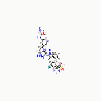 CN(C)CC(=O)Nc1cncc(-c2ccc3[nH]nc(-c4cc5c(-c6cc(F)cc(C(N)S(C)(=O)=O)c6)cccc5[nH]4)c3n2)c1